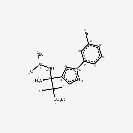 CCOC(=O)C(F)(F)[C@](C)(N[S@+]([O-])C(C)(C)C)c1cnn(-c2cccc(Br)c2)c1